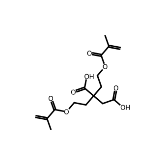 C=C(C)C(=O)OCCC(CCOC(=O)C(=C)C)(CC(=O)O)C(=O)O